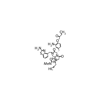 C#CCN(C(=O)NC)N1CC(=O)N2[C@@H](Cc3ccc(OCC(=O)C=C)c(N)c3)C(=O)N(Cc3cccc4sc(N)nc34)C[C@@H]21